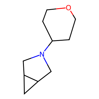 C1CC(N2CC3CC3C2)CCO1